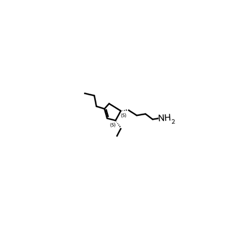 CCCC1=C[C@@H](CC)[C@@H](CCCCN)C1